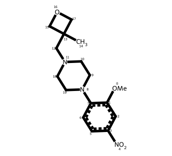 COc1cc([N+](=O)[O-])ccc1N1CCN(CC2(C)COC2)CC1